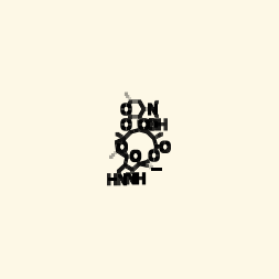 CC[C@H]1OC(=O)[C@H](C)[C@@H](O)[C@H](C)[C@@H](OC2O[C@H](C)C[C@H](N(C)C)[C@H]2O)[C@@]2(C)C[C@@H](C)C3(OC1(C)C1NNCC13)O2